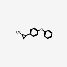 N[C@@H]1CC1c1ccc(Oc2ccccc2)cc1